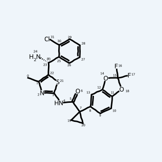 Cc1nc(NC(=O)C2(c3ccc4c(c3)OC(F)(F)O4)CC2)sc1[C@H](N)c1ccccc1Cl